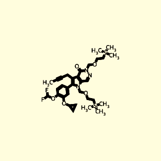 CC#CCc1c(-c2ccc(OC(F)F)c(OC3CC3)c2)n(COCC[Si](C)(C)C)c2cnn(COCC[Si](C)(C)C)c(=O)c12